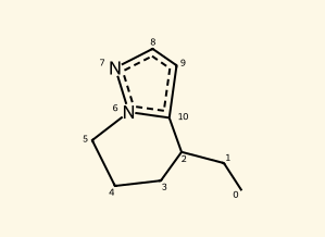 CCC1CCCn2nccc21